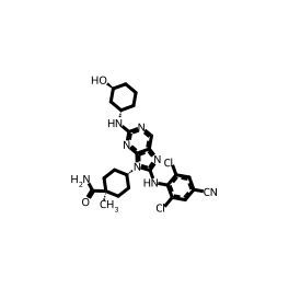 C[C@]1(C(N)=O)CC[C@H](n2c(Nc3c(Cl)cc(C#N)cc3Cl)nc3cnc(N[C@H]4CCC[C@H](O)C4)nc32)CC1